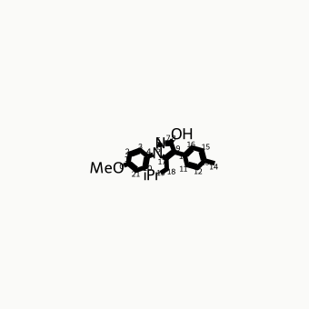 COc1ccc(-n2nc(O)c(-c3ccc(C)cc3)c2CC(C)C)cc1